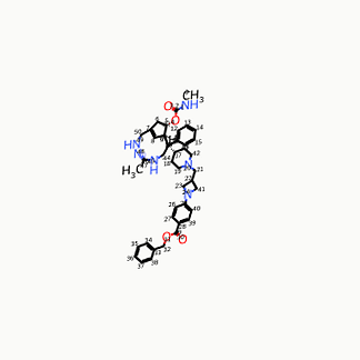 CNC(=O)O[C@H]1CC2=C[C@@H]1[C@](c1ccccc1)(C1CCN(CC3CN(c4ccc(C(=O)OCc5ccccc5)cc4)C3)CC1)CN/C(C)=N\NC2